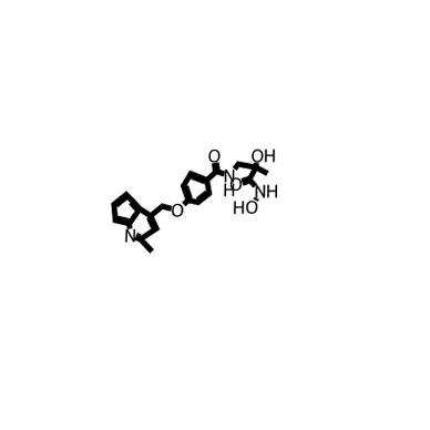 Cc1cc(COc2ccc(C(=O)NCC(C)(O)C(=O)NO)cc2)c2ccccc2n1